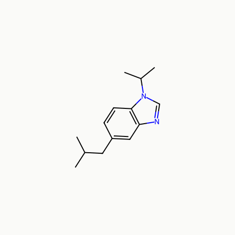 CC(C)Cc1ccc2c(c1)ncn2C(C)C